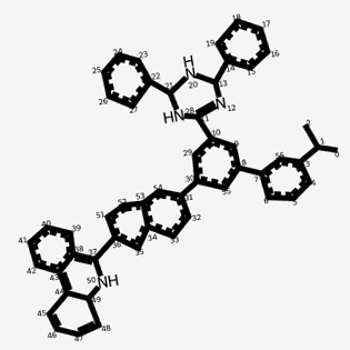 CC(C)c1cccc(-c2cc(C3=NC(c4ccccc4)NC(c4ccccc4)N3)cc(-c3ccc4cc(C5=c6ccccc6=C6C=CC=CC6N5)ccc4c3)c2)c1